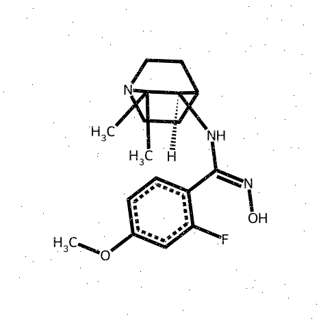 COc1ccc(/C(=N\O)N[C@@H]2C3CCN(CC3)C2(C)C)c(F)c1